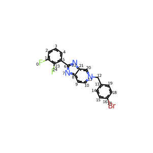 Fc1cccc(-c2nc3ccn(Cc4ccc(Br)cc4)cc-3n2)c1F